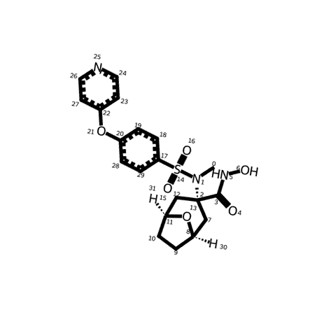 CN([C@]1(C(=O)NO)C[C@H]2CC[C@@H](C1)O2)S(=O)(=O)c1ccc(Oc2ccncc2)cc1